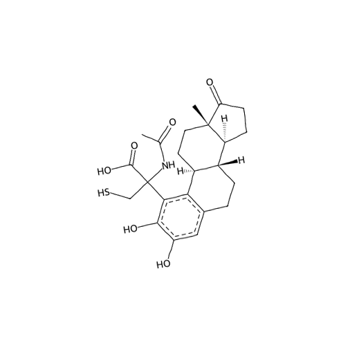 CC(=O)NC(CS)(C(=O)O)c1c(O)c(O)cc2c1[C@H]1CC[C@]3(C)C(=O)CC[C@H]3[C@@H]1CC2